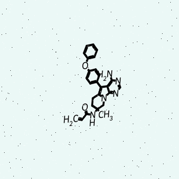 C=CC(=O)NC1(C)CCc2c(-c3ccc(Oc4ccccc4)cc3)c3c(N)ncnc3n2C1